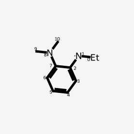 CC[N]c1ccccc1N(C)C